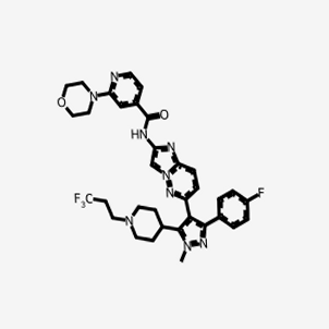 Cn1nc(-c2ccc(F)cc2)c(-c2ccc3nc(NC(=O)c4ccnc(N5CCOCC5)c4)cn3n2)c1C1CCN(CCC(F)(F)F)CC1